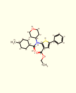 CCOC(=O)c1cc(-c2ccccc2)sc1N(C(=O)C1CCC(C)CC1)C1CCOCC1